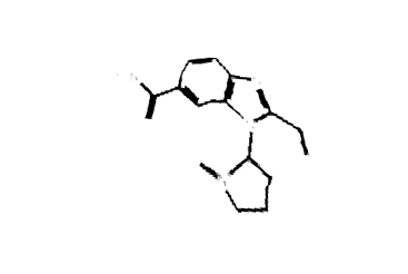 CCc1nc2ccc(C(N)=O)cc2n1C1CCCN1C